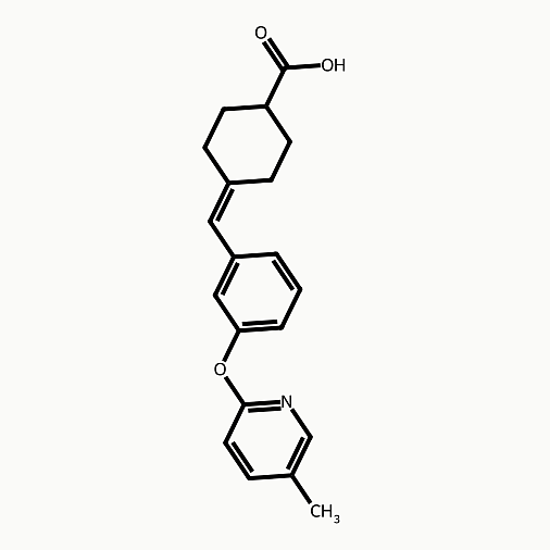 Cc1ccc(Oc2cccc(C=C3CCC(C(=O)O)CC3)c2)nc1